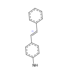 [NH]c1ccc(/C=C/c2ccccc2)cc1